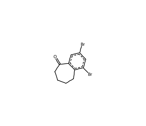 O=C1CCCCc2c(Br)cc(Br)cc21